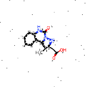 Cc1c(C(=O)O)nn2c(=O)[nH]c3ccccc3c12